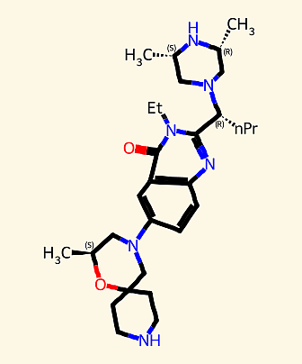 CCC[C@H](c1nc2ccc(N3C[C@H](C)OC4(CCNCC4)C3)cc2c(=O)n1CC)N1C[C@@H](C)N[C@@H](C)C1